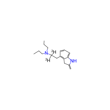 [2H]C([2H])(Cc1cccc2c1CC(=C)N2)N(CCC)CCC